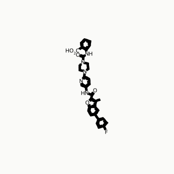 Cc1c(C(=O)Nc2ccc(N3CCN(C(=O)Nc4ccccc4C(=O)O)CC3)nc2)oc2ccc(-c3ccc(F)cc3)cc12